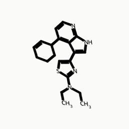 CCN(CC)c1nc(-c2c[nH]c3nccc(C4C=CCCC4)c23)cs1